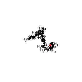 [CH2][C@]1(C)C=C2C(=O)[C@](C)(O)C3(CC3)C(C)=C2[C@@H]1OC(=O)N(C)CCN(C)C(=O)OCc1ccc(NC(=O)[C@H](CCCNC(N)=O)NC(=O)[C@@H](NC(=O)CNC(=O)CNC(=O)CN)C(C)C)cc1